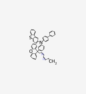 C=C/C=C\C=C/CC1(c2cccc(N(c3ccc(-c4ccccc4)cc3)c3ccc4sc5ccccc5c4c3)c2)c2ccccc2Oc2ccccc21